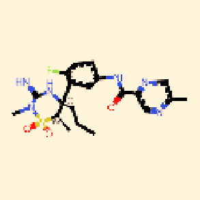 CCC[C@]1(c2cc(NC(=O)c3cnc(C)cn3)ccc2F)NC(=N)N(C)S(=O)(=O)[C@@H]1C